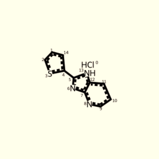 Cl.c1csc(-c2nc3ncccc3[nH]2)c1